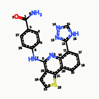 NC(=O)c1ccc(Nc2nc3c(-c4nnc[nH]4)cccc3c3sccc23)cc1